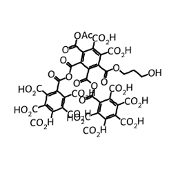 CC(=O)OC(=O)c1c(C(=O)O)c(C(=O)O)c(C(=O)OCCCO)c(C(=O)OC(=O)c2c(C(=O)O)c(C(=O)O)c(C(=O)O)c(C(=O)O)c2C(=O)O)c1C(=O)OC(=O)c1c(C(=O)O)c(C(=O)O)c(C(=O)O)c(C(=O)O)c1C(=O)O